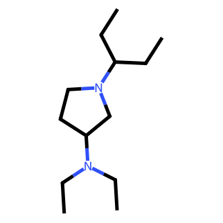 CCC(CC)N1CCC(N(CC)CC)C1